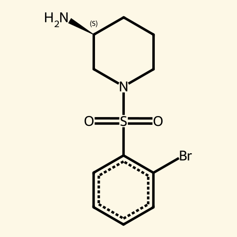 N[C@H]1CCCN(S(=O)(=O)c2ccccc2Br)C1